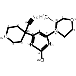 C[C@@H]1COCCN1c1cc(C2(C#N)CCOCC2)nc(Cl)n1